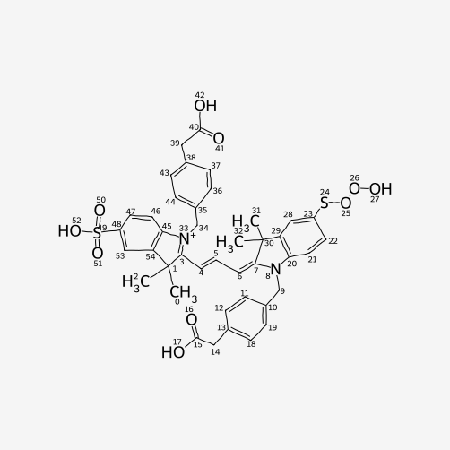 CC1(C)C(/C=C/C=C2/N(Cc3ccc(CC(=O)O)cc3)c3ccc(SOOO)cc3C2(C)C)=[N+](Cc2ccc(CC(=O)O)cc2)c2ccc(S(=O)(=O)O)cc21